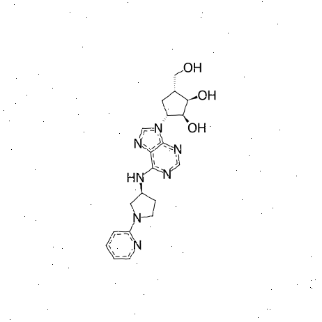 OC[C@H]1C[C@@H](n2cnc3c(N[C@H]4CCN(c5ccccn5)C4)ncnc32)[C@H](O)[C@@H]1O